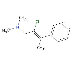 C/C(=C(/Cl)CN(C)C)c1ccccc1